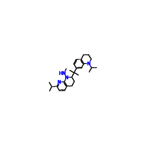 CNN1c2nc(C(C)C)ccc2CCC1C(C)(C)c1ccc2c(c1)N(C(C)C)CCC2